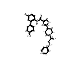 O=C(Nc1ccc(F)cc1-c1ccc(Cl)cc1)c1csc(C2CCN(C(=O)CSc3ccncc3)CC2)n1